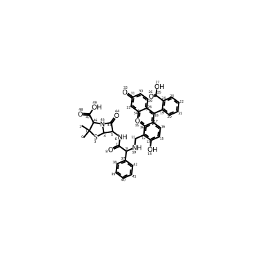 CC1(C)SC2C(NC(=O)C(NCc3c(O)ccc4c(-c5ccccc5C(=O)O)c5ccc(=O)cc-5oc34)c3ccccc3)C(=O)N2C1C(=O)O